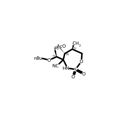 CCCCO[C@@H](C(C)C)C1(C#N)NS(=O)(=O)OC[C@H](C)[C@H]1OC(C)=O